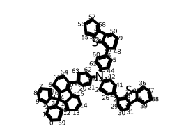 c1ccc(C2(c3ccccc3)c3ccccc3-c3c(-c4ccc(N(c5ccc(-c6cccc7c6sc6ccccc67)cc5)c5ccc(-c6cccc7c6sc6ccccc67)cc5)cc4)cccc32)cc1